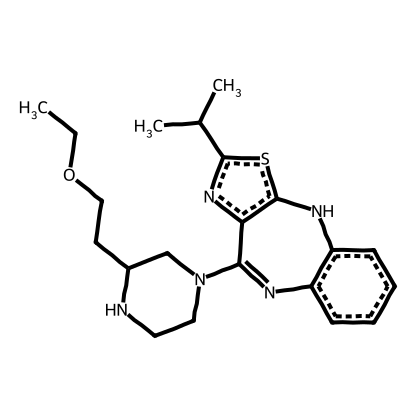 CCOCCC1CN(C2=Nc3ccccc3Nc3sc(C(C)C)nc32)CCN1